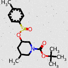 Cc1ccc(S(=O)OC2CC(C)CN(C(=O)OC(C)(C)C)C2)cc1